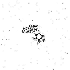 CO[Si](O)(OC)C(F)(F)Oc1ccc(F)c(F)c1F